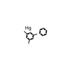 Cc1cc(C)cc(C)c1.[Hg].c1ccccc1